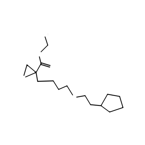 CCOC(=O)C1(CCCCOCCC2CCCC2)CO1